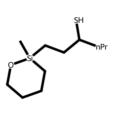 CCCC(S)CC[Si]1(C)CCCCO1